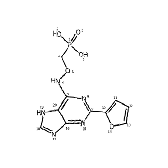 O=P(O)(O)CONc1nc(-c2ccco2)nc2nc[nH]c12